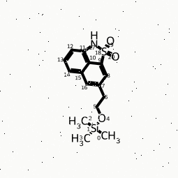 C[Si](C)(C)OCCc1cc2c3c(cccc3c1)NS2(=O)=O